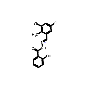 Cc1c(Cl)cc(Cl)cc1/C=N/NC(=O)c1ccccc1O